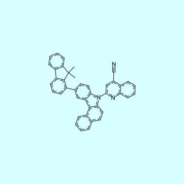 CC1(C)c2ccccc2-c2cccc(-c3ccc4c(c3)c3c5ccccc5ccc3n4-c3cc(C#N)c4ccccc4n3)c21